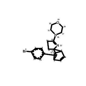 Brc1ccc(C2C3C=CC(CC3)C23CCC(N2CCOCC2)=N3)cc1